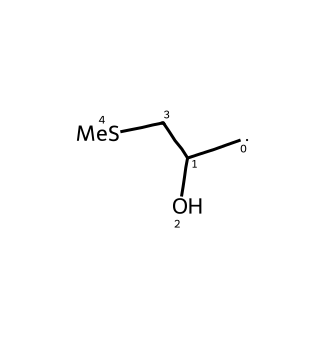 [CH2]C(O)CSC